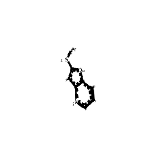 CC(C)Sc1cc2ncccc2o1